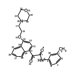 Cc1cccc(NC(=O)C(=O)c2ccc(OCCN3CCOCC3)c3ccccc23)c1